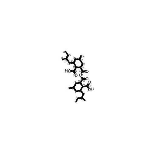 CCC(C)CC1CC(C)CC(C(=O)OC(=O)C2CC(C)CC(CC(C)CC)C2C(=O)O)C1C(=O)O